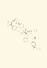 CN(CCN(C)C(=O)C(I)(Cc1ccccc1)N(Cc1ccc(N2CCOCC2)cc1)C(=O)C=Cc1ccc(C(F)(F)F)cc1)Cc1ccc(O)cc1